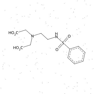 O=C(O)CN(CCNS(=O)(=O)c1ccccc1)CC(=O)O